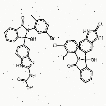 Cc1ccc(Br)cc1N1C(=O)c2ccccc2C1(O)c1ccc2[nH]c(NC(=O)O)nc2c1.O=C1c2ccccc2C(O)(c2ccc3[nH]c(=O)[nH]c3c2)N1c1cccc(Cl)c1F